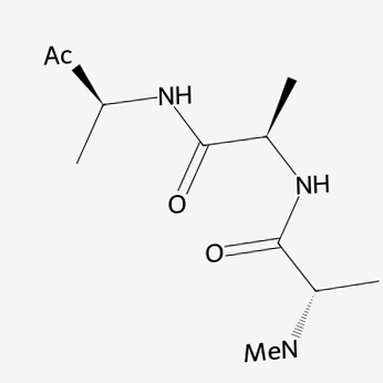 CN[C@@H](C)C(=O)N[C@H](C)C(=O)N[C@@H](C)C(C)=O